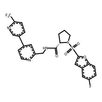 O=C(NCc1cc(-c2ccc(C(F)(F)F)nc2)ccn1)[C@@H]1CCCN1S(=O)(=O)c1cc2cc(F)ccc2o1